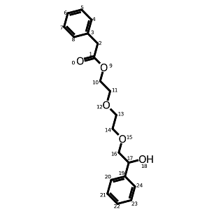 O=C(Cc1ccccc1)OCCOCCOCC(O)c1ccccc1